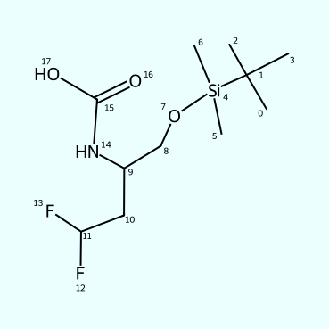 CC(C)(C)[Si](C)(C)OCC(CC(F)F)NC(=O)O